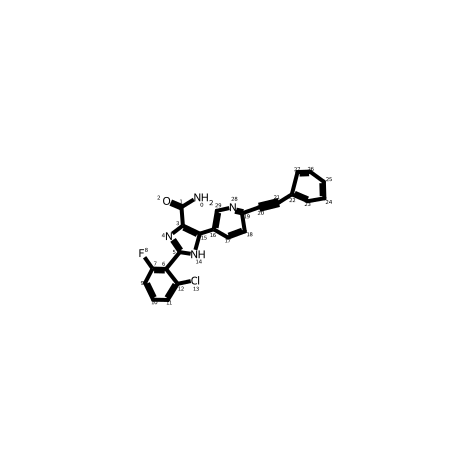 NC(=O)c1nc(-c2c(F)cccc2Cl)[nH]c1-c1ccc(C#Cc2ccccc2)nc1